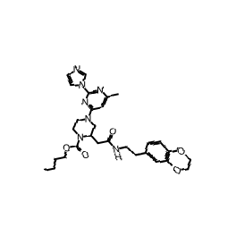 CCCCOC(=O)N1CCN(c2cc(C)nc(-n3ccnc3)n2)CC1CC(=O)NCCc1ccc2c(c1)OCCO2